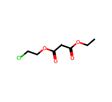 CCOC(=O)[CH]C(=O)OCCCl